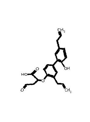 C=CCc1ccc(O)c(-c2ccc(OC(CC=O)C(=O)O)c(CC=C)c2)c1